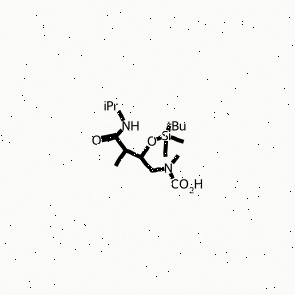 CC(C)NC(=O)C(C)C(CN(C)C(=O)O)O[Si](C)(C)C(C)(C)C